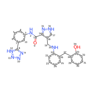 O=C(Nc1cccc(-c2nnn[nH]2)c1)c1n[nH]cc1CNc1ccccc1Cc1ccccc1O